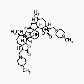 C=C1CC[C@H]2C(CN3CCN(C)CC3)C(=O)O[C@@H]2[C@@H]2[C@H]1C[C@@]1(O)[C@]2(O)CCC[C@]12C(=O)C[C@H]1C(=C)CC[C@H]3C(CN4CCN(C)CC4)C(=O)O[C@@H]3[C@H]12